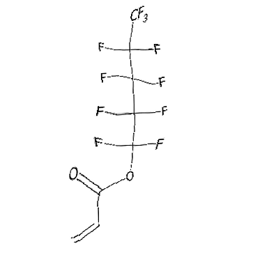 C=CC(=O)OC(F)(F)C(F)(F)C(F)(F)C(F)(F)C(F)(F)F